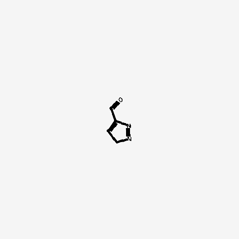 O=CC1=CCN=N1